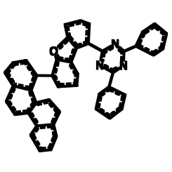 c1ccc(-c2nc(-c3ccccc3)nc(-c3cccc4oc5c(-c6cccc7ccc8c9ccccc9ccc8c67)cccc5c34)n2)cc1